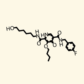 CCCCOc1c(C(=O)NCCCCCCO)[nH]cc(C(=O)NCc2ccc(F)cc2)c1=O